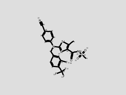 Cc1sc(N(Cc2ccc(C(F)(F)F)c(F)c2)c2ccc(C#N)cc2)nc1C(=O)NS(C)(=O)=O